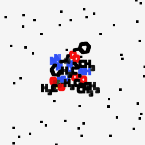 CC(C)(C)OC(=O)NC(C)(C)C(=O)N[C@H](COCc1ccccc1)c1nnc2ccc(NS(C)(=O)=O)cn12